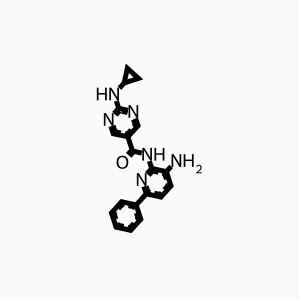 Nc1ccc(-c2ccccc2)nc1NC(=O)c1cnc(NC2CC2)nc1